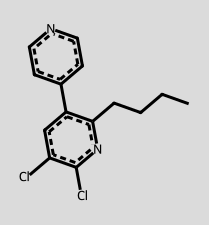 CCCCc1nc(Cl)c(Cl)cc1-c1ccncc1